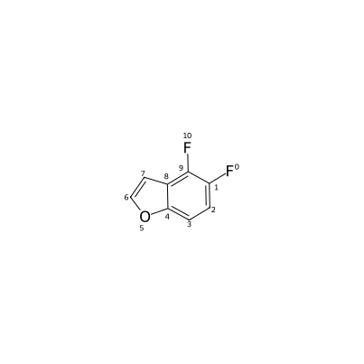 Fc1ccc2occc2c1F